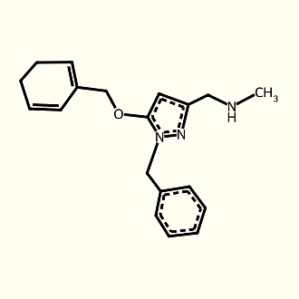 CNCc1cc(OCC2=CCCC=C2)n(Cc2ccccc2)n1